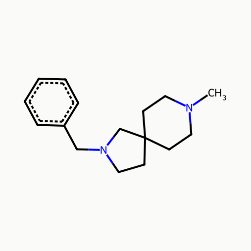 CN1CCC2(CC1)CCN(Cc1ccccc1)C2